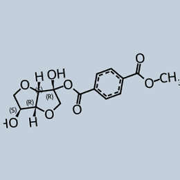 COC(=O)c1ccc(C(=O)O[C@]2(O)CO[C@@H]3[C@@H](O)CO[C@@H]32)cc1